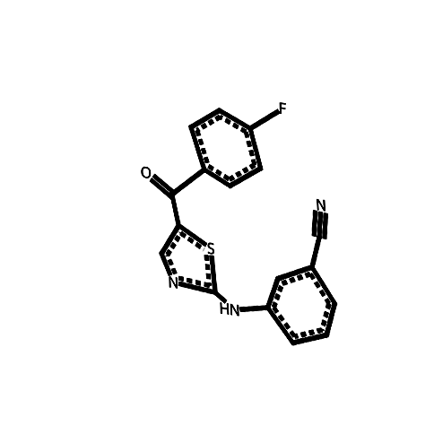 N#Cc1cccc(Nc2ncc(C(=O)c3ccc(F)cc3)s2)c1